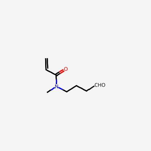 C=CC(=O)N(C)CCCC=O